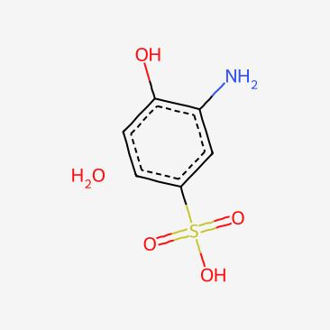 Nc1cc(S(=O)(=O)O)ccc1O.O